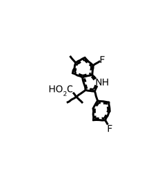 Cc1cc(F)c2[nH]c(-c3ccc(F)cc3)c(C(C)(C)C(=O)O)c2c1